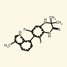 Cc1c[nH]c2c(-c3c(F)cc4c(c3F)NC(=S)C(C)(C)N4)cccc12